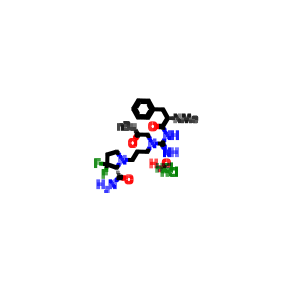 CCCCC(=O)CN(CCCN1CCC(F)(F)[C@H]1C(N)=O)C(=N)NC(=O)[C@@H](Cc1ccccc1)NC.Cl.Cl.O